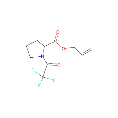 C=CCOC(=O)C1CCCN1C(=O)C(F)(F)F